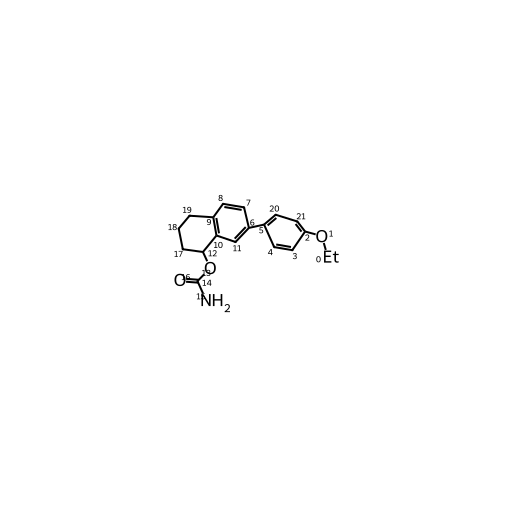 CCOc1ccc(-c2ccc3c(c2)C(OC(N)=O)CCC3)cc1